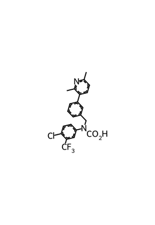 Cc1ccc(-c2cccc(CN(C(=O)O)c3ccc(Cl)c(C(F)(F)F)c3)c2)c(C)n1